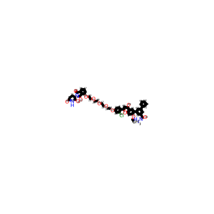 CCOc1cc2oc(-c3ccc(OCCOCCOCCOCCOc4cccc5c4C(=O)N(C4CCC(=O)NC4=O)C5=O)cc3Cl)cc(=O)c2cc1-c1cc(C(N)=O)cc(-c2ccccc2)c1